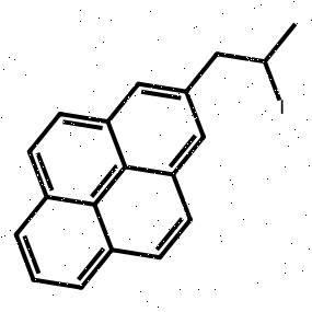 CC(I)Cc1cc2ccc3cccc4ccc(c1)c2c34